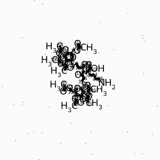 CC(=O)OC[C@H]1O[C@H](SCCC(=O)N(C(=O)CCS[C@H]2O[C@H](COC(C)=O)[C@@H](OC(C)=O)[C@H](OC(C)=O)[C@@H]2OC(C)=O)[C@H](CCCCN)C(=O)O)[C@@H](OC(C)=O)[C@@H](OC(C)=O)[C@@H]1OC(C)=O